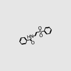 O=C(NC=CS(=O)(=O)c1ccccc1)c1ccccc1